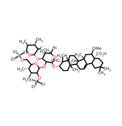 CC[Si](CC)(CC)OCC1O[C@@H](OC2[C@H](O[C@H]3CCC4(C)C5CC=C6C7CC(C)(C)CC[C@]7(C(=O)O)C(OC)C[C@@]6(C)[C@@]5(C)CC[C@H]4[C@@]3(C)C=O)OC(C(C)=O)[C@@H](C)[C@@H]2O[C@@H]2OC[C@@H](C)[C@@H](C)C2C)C(O[Si](CC)(CC)CC)[C@@H](C)[C@@H]1C